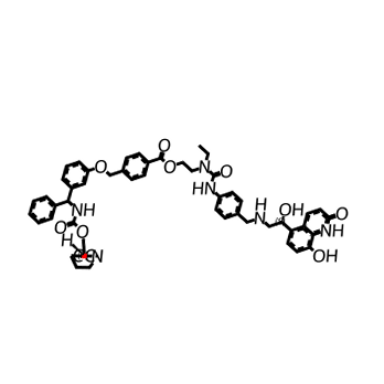 CCN(CCOC(=O)c1ccc(COc2cccc(C(NC(=O)O[C@H]3CN4CCC3CC4)c3ccccc3)c2)cc1)C(=O)Nc1ccc(CNC[C@@H](O)c2ccc(O)c3[nH]c(=O)ccc23)cc1